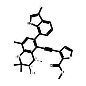 COC(=O)c1sccc1C#Cc1c(-c2cccc3c(C)c[nH]c23)cc(C)c2c1[C@H](C)[C@@H](O)C(C)(C)N2